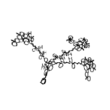 CC(=O)N[C@H]1[C@H](OCCCCC(=O)NCCCNC(=O)CCOCC(COCCC(=O)NCCCNC(=O)CCCCOC2O[C@H](COC(C)=O)[C@H](OC(C)=O)[C@H](OC(C)=O)[C@H]2NC(C)=O)(COCCC(=O)NCCCNC(=O)CCCCO[C@@H]2O[C@H](COC(C)=O)[C@H](OC(C)=O)[C@H](OC(C)=O)[C@H]2NC(C)=O)NC(=O)OCc2ccccc2)O[C@H](COC(C)=O)[C@H](OC(C)=O)[C@@H]1OC(C)=O